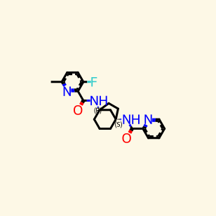 Cc1ccc(F)c(C(=O)N[C@]23CCC[C@](NC(=O)c4ccccn4)(CC2)C3)n1